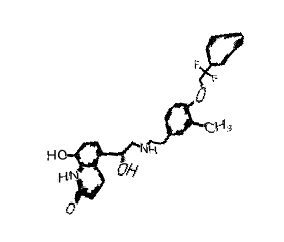 Cc1cc(CCNC[C@@H](O)c2ccc(O)c3[nH]c(=O)ccc23)ccc1OCC(F)(F)c1ccccc1